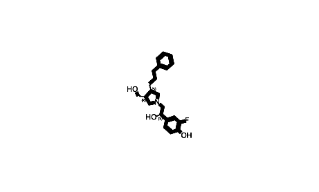 OC[C@H]1CN(C[C@@H](O)c2ccc(O)c(F)c2)C[C@H]1CCCc1ccccc1